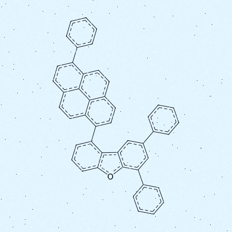 c1ccc(-c2cc(-c3ccccc3)c3oc4cccc(-c5ccc6ccc7c(-c8ccccc8)ccc8ccc5c6c87)c4c3c2)cc1